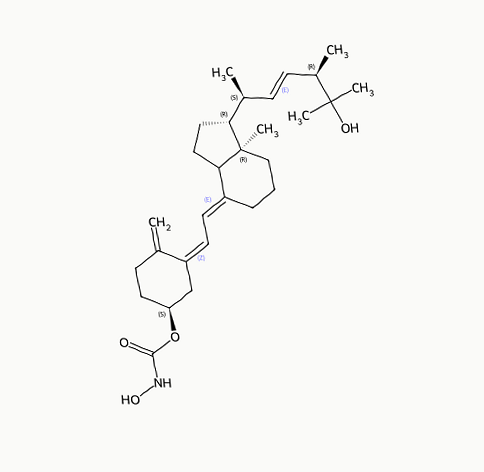 C=C1CC[C@H](OC(=O)NO)C/C1=C/C=C1\CCC[C@@]2(C)C1CC[C@@H]2[C@@H](C)/C=C/[C@@H](C)C(C)(C)O